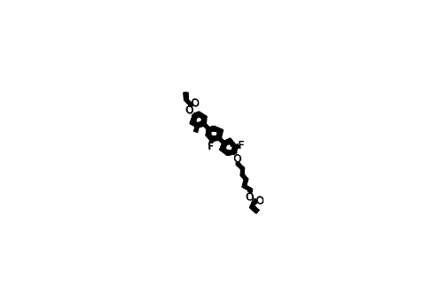 C=CC(=O)OCCCCCCOc1ccc(-c2ccc(-c3ccc(OC(=O)C=C)cc3C)cc2F)cc1F